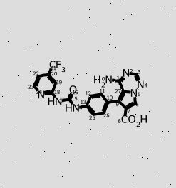 Nc1ncnn2cc(C(=O)O)c(-c3ccc(NC(=O)Nc4cc(C(F)(F)F)ccn4)cc3)c12